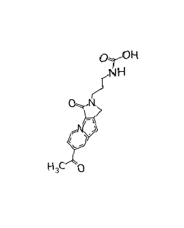 CC(=O)c1ccn2c3c(cc2c1)CN(CCCNC(=O)O)C3=O